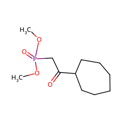 COP(=O)(CC(=O)C1CCCCCC1)OC